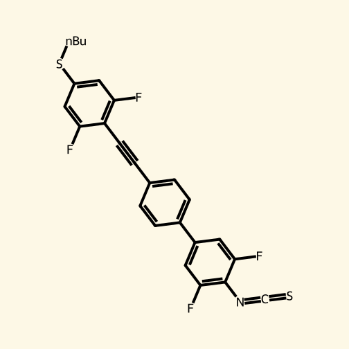 CCCCSc1cc(F)c(C#Cc2ccc(-c3cc(F)c(N=C=S)c(F)c3)cc2)c(F)c1